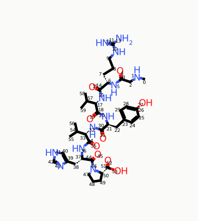 CNCC(=O)N[C@@H](CCCNC(=N)N)C(=O)N[C@H](C(=O)N[C@@H](Cc1ccc(O)cc1)C(=O)N[C@H](C(=O)N[C@@H](Cc1c[nH]cn1)C(=O)N1CCC[C@H]1C(=O)O)C(C)C)C(C)C